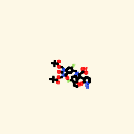 CC(C)(C)C(=O)OCn1c(=O)c2cc(Cn3c(C(=O)O)c(-c4ccc[nH]c4=O)c4c5occc5c(F)cc43)c(F)cc2n(COC(=O)C(C)(C)C)c1=O